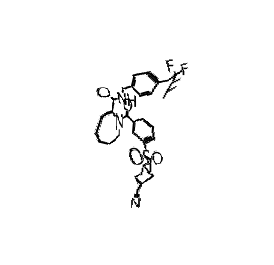 N#CC1CN(S(=O)(=O)c2cccc(C(=O)N3CCCCCC3C(=O)NCc3ccc(C(F)(F)F)cc3)c2)C1